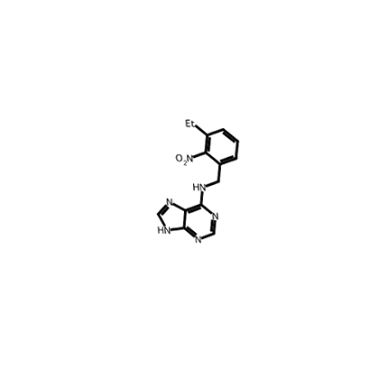 CCc1cccc(CNc2ncnc3[nH]cnc23)c1[N+](=O)[O-]